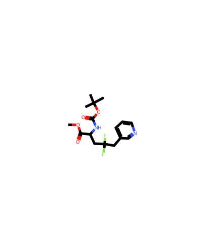 COC(=O)C(CC(F)(F)Cc1cccnc1)NC(=O)OC(C)(C)C